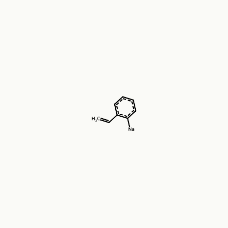 C=Cc1cccc[c]1[Na]